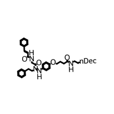 CCCCCCCCCCCCNC(=O)CCCOc1ccc(NN(CCc2ccccc2)C(=O)CNC(=O)C=Cc2ccccc2)cc1